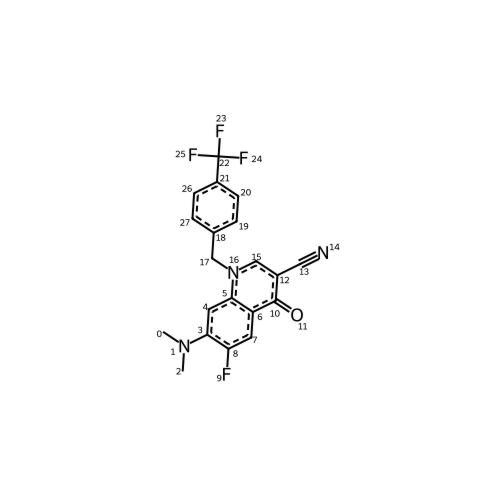 CN(C)c1cc2c(cc1F)c(=O)c(C#N)cn2Cc1ccc(C(F)(F)F)cc1